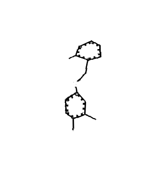 Cc1ccc(NCc2ccccc2O)cc1F